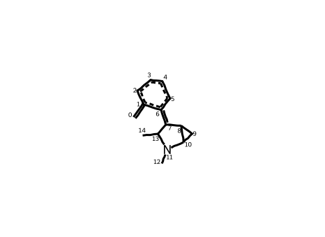 C=c1cccc/c1=C1\C2CC2N(C)C1C